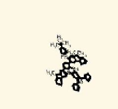 CC1c2ccccc2-c2cc3c(cc21)c1ccc(-c2cc4c(cc2Nc2ccc(C(C)(C)C)cc2)C(C)(C)c2ccccc2-4)c2c1n3-c1cc3c(-c4ccccc4)oc(-c4ccccc4)c3cc1B2